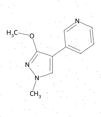 COc1nn(C)cc1-c1cccnc1